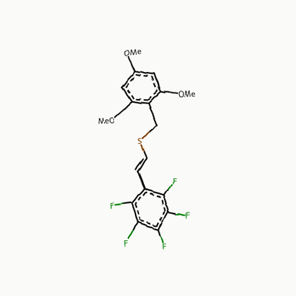 COc1cc(OC)c(CSC=Cc2c(F)c(F)c(F)c(F)c2F)c(OC)c1